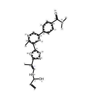 C=CC(O)N/C=C(\C)c1nnc(-c2nc(-c3ccc(C(=O)N(C)C)cc3)cnc2C)o1